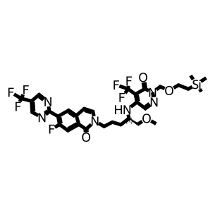 COC[C@@H](CCCn1ccc2cc(-c3ncc(C(F)(F)F)cn3)c(F)cc2c1=O)Nc1cnn(COCC[Si](C)(C)C)c(=O)c1C(F)(F)F